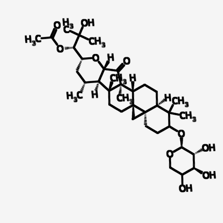 CC(=O)O[C@@H]([C@H]1C[C@@H](C)[C@H]2[C@H](O1)C(=O)[C@@]1(C)[C@@H]3CC[C@H]4C(C)(C)C(O[C@@H]5OCC(O)[C@H](O)[C@H]5O)CC[C@@]45C[C@@]35CC[C@]21C)C(C)(C)O